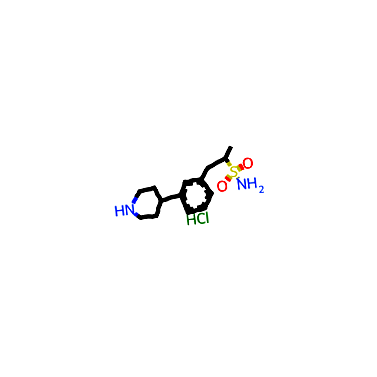 CC(Cc1cccc(C2CCNCC2)c1)S(N)(=O)=O.Cl